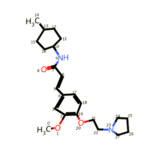 COc1cc(C=CC(=O)NC2CCC(C)CC2)ccc1OCCN1CCCC1